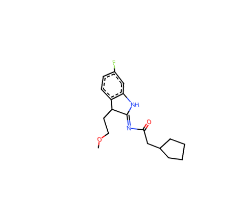 COCCC1C(=NC(=O)CC2CCCC2)Nc2cc(F)ccc21